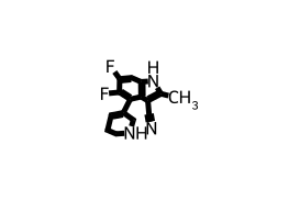 Cc1[nH]c2cc(F)c(F)c(C3=CCCNC3)c2c1C#N